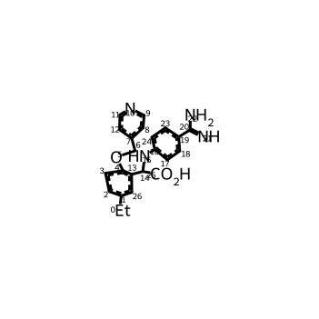 CCc1ccc(OCc2ccncc2)c(C(Nc2ccc(C(=N)N)cc2)C(=O)O)c1